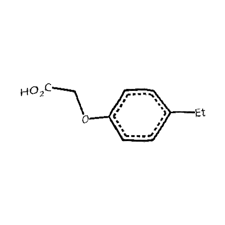 [CH2]Cc1ccc(OCC(=O)O)cc1